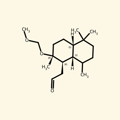 COCO[C@]1(C)CC[C@H]2[C@H](C(C)CCC2(C)C)[C@H]1CC=O